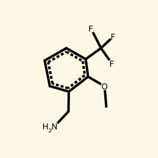 COc1c(CN)cccc1C(F)(F)F